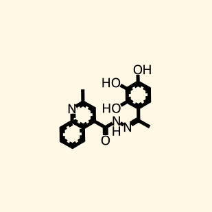 CC(=NNC(=O)c1cc(C)nc2ccccc12)c1ccc(O)c(O)c1O